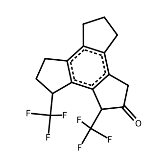 O=C1Cc2c3c(c4c(c2C1C(F)(F)F)C(C(F)(F)F)CC4)CCC3